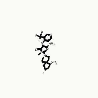 C[C@H]1C[C@@H](N)C2(CCN(c3nc(N)c(Sc4ccncc4C(F)(F)F)c(=O)n3C)CC2)C1